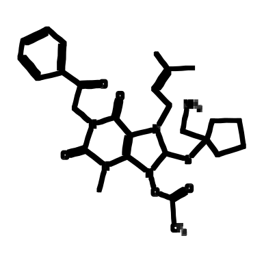 CC(C)=CCN1c2c(n(C)c(=O)n(CC(=O)c3ccccc3)c2=O)N(OC(=O)C(F)(F)F)C1SC1(CN)CCCC1